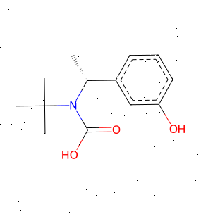 C[C@H](c1cccc(O)c1)N(C(=O)O)C(C)(C)C